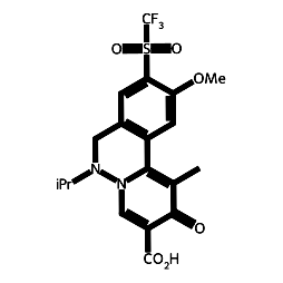 COc1cc2c(cc1S(=O)(=O)C(F)(F)F)CN(C(C)C)n1cc(C(=O)O)c(=O)c(C)c1-2